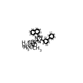 CC1(C)OB(c2nc(-c3cccc(-c4ccccc4)c3)nc(-c3cccc4ccccc34)n2)OC1(C)C